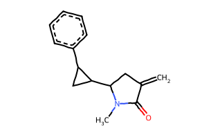 C=C1CC(C2CC2c2ccccc2)N(C)C1=O